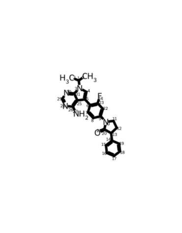 CC(C)n1cc(-c2ccc(N3CCC(c4ccccc4)C3=O)cc2F)c2c(N)ncnc21